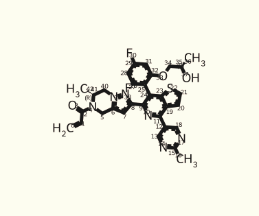 C=CC(=O)N1Cc2cc(-c3nc(-c4cnc(C)nc4)c4ccsc4c3-c3c(F)cc(F)cc3OC[C@@H](C)O)nn2C[C@H]1C